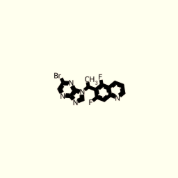 CC(c1c(F)cc2ncccc2c1F)n1cnc2ncc(Br)nc21